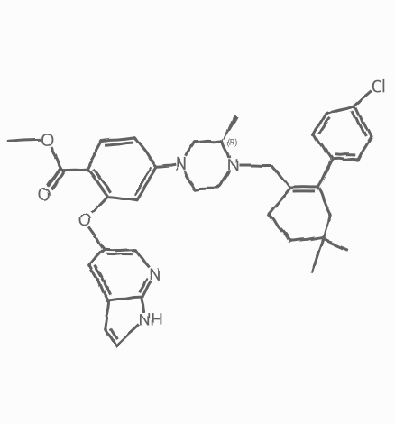 COC(=O)c1ccc(N2CCN(CC3=C(c4ccc(Cl)cc4)CC(C)(C)CC3)[C@H](C)C2)cc1Oc1cnc2[nH]ccc2c1